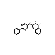 C[C@@H](NC(=O)Oc1cnc(-c2ccccc2)nc1)c1ccccc1